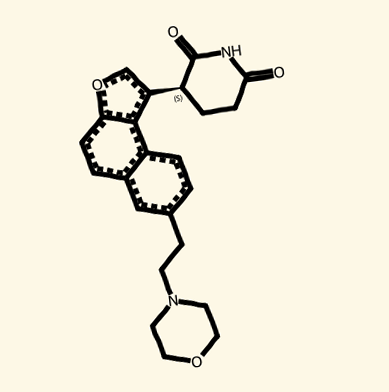 O=C1CC[C@@H](c2coc3ccc4cc(CCN5CCOCC5)ccc4c23)C(=O)N1